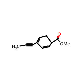 CC#CC1=CCC(C(=O)OC)C=C1